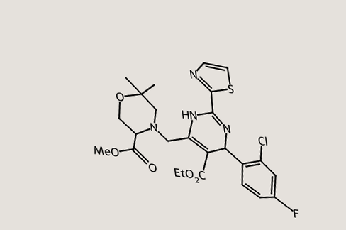 CCOC(=O)C1=C(CN2CC(C)(C)OCC2C(=O)OC)NC(c2nccs2)=NC1c1ccc(F)cc1Cl